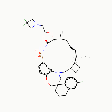 CO[C@H]1/C=C/C[C@H](C)[C@@H](OCCN2CC(F)(F)C2)C(=O)NS(=O)(=O)c2ccc3c(c2)N(C[C@@H]2CC[C@H]21)C[C@@]1(CCCc2cc(Cl)ccc21)CO3